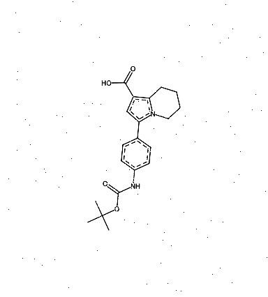 CC(C)(C)OC(=O)Nc1ccc(-c2cc(C(=O)O)c3n2CCCC3)cc1